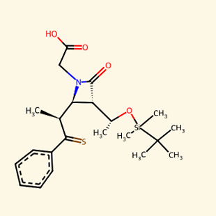 C[C@H](C(=S)c1ccccc1)[C@@H]1[C@@H]([C@@H](C)O[Si](C)(C)C(C)(C)C)C(=O)N1CC(=O)O